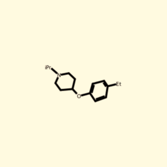 CCc1ccc(OC2CCN(C(C)C)CC2)cc1